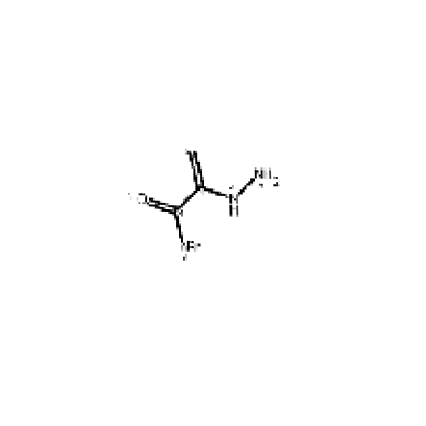 C=C(NN)C(=O)CCC